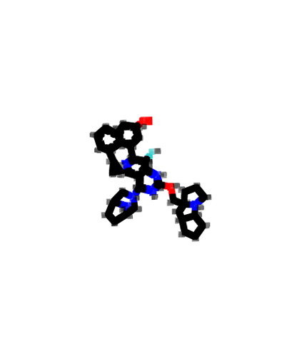 Oc1cc(-c2ncc3c(N4CC5CCC(C4)N5)nc(OCC45CCCN4C4CCCC4C5)nc3c2F)c2c(C3CC3)cccc2c1